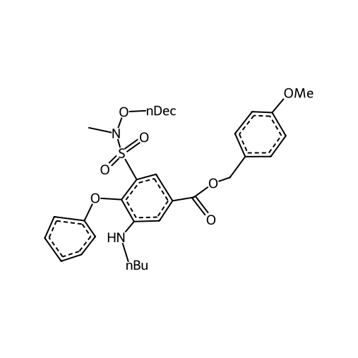 CCCCCCCCCCON(C)S(=O)(=O)c1cc(C(=O)OCc2ccc(OC)cc2)cc(NCCCC)c1Oc1ccccc1